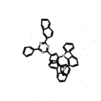 c1ccc(-c2nc(-c3ccc(-c4ccccc4)c(-n4c5ccccc5c5cccc(-n6c7ccccc7c7ccccc76)c54)c3)nc(-c3ccc4ccccc4c3)n2)cc1